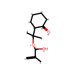 C=C(C)C(O)OC(C)(C)C1CCCCC1=O